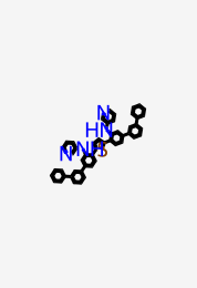 c1ccc(-c2cccc(-c3ccc(-c4ccc(-c5ccc(-c6cccc(-c7ccccc7)c6)cc5Nc5cccnc5)s4)c(Nc4cccnc4)c3)c2)cc1